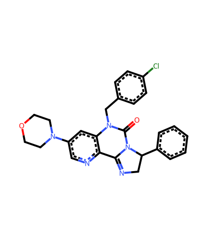 O=C1N(Cc2ccc(Cl)cc2)c2cc(N3CCOCC3)cnc2C2=NCC(c3ccccc3)N12